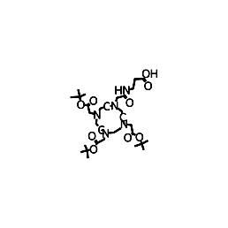 CC(C)(C)OC(=O)CN1CCN(CC(=O)NCCC(=O)O)CCN(CC(=O)OC(C)(C)C)CCN(CC(=O)OC(C)(C)C)CC1